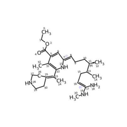 CCOC(=O)C1=C/C(=C/CC[C@@H](C)C(C)C/C=C(\N)NC)NC(C(C)=C2CCNCC2)=C1C